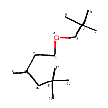 CC(CCOCC(C)(C)C)CC(C)(C)C